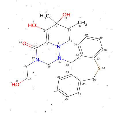 CC1CN2C(=C(O)C1(C)O)C(=O)N(CCO)CN2C1c2ccccc2CSc2ccccc21